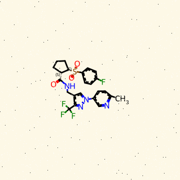 Cc1ccc(-n2cc(CNC(=O)[C@@H]3CCC[C@@H]3S(=O)(=O)c3ccc(F)cc3)c(C(F)(F)F)n2)cn1